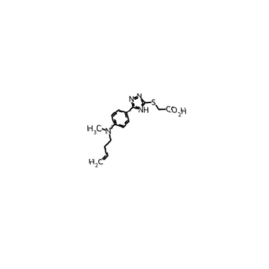 C=CCCN(C)c1ccc(-c2nnc(SCC(=O)O)[nH]2)cc1